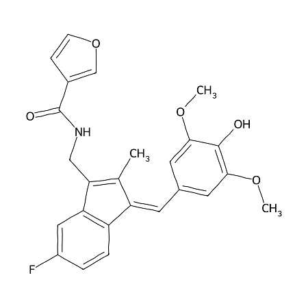 COc1cc(C=C2C(C)=C(CNC(=O)c3ccoc3)c3cc(F)ccc32)cc(OC)c1O